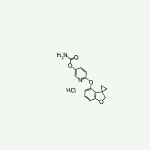 Cl.NC(=O)Oc1ccc(Oc2cccc3c2C2(CC2)CO3)nc1